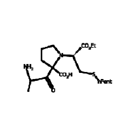 CCCCCSC[C@@H](C(=O)OCC)N1CCCC1(C(=O)O)C(=O)C(C)N